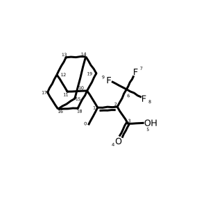 CC(=C(C(=O)O)C(F)(F)F)C12CC3CC(CC(C3)C1)C2